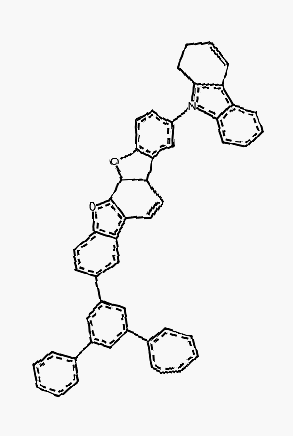 C1=Cc2c(n(-c3ccc4c(c3)C3C=Cc5c(oc6ccc(-c7cc(-c8ccccc8)cc(-c8ccccc8)c7)cc56)C3O4)c3ccccc23)CC1